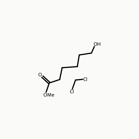 COC(=O)CCCCCO.ClCCl